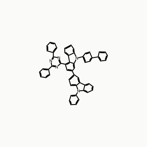 c1ccc(-c2ccc(-n3c4ccccc4c4c(-c5nc(-c6ccccc6)nc(-c6ccccc6)n5)cc(-c5ccc6c(c5)c5ccccc5n6-c5ccccc5)cc43)cc2)cc1